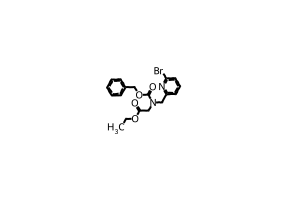 CCOC(=O)CN(Cc1cccc(Br)n1)C(=O)OCc1ccccc1